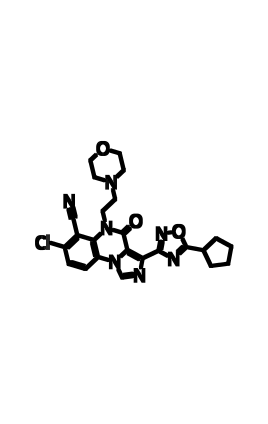 N#Cc1c(Cl)ccc2c1n(CCN1CCOCC1)c(=O)c1c(-c3noc(C4CCCC4)n3)ncn12